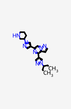 CCC(CC)n1cc(-c2nc(-c3cnn(C4CCCNC4)c3)cn3nccc23)cn1